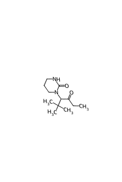 CCC(=O)C(N1CCCNC1=O)C(C)(C)C